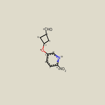 O=CC1CC(Oc2ccc([N+](=O)[O-])nc2)C1